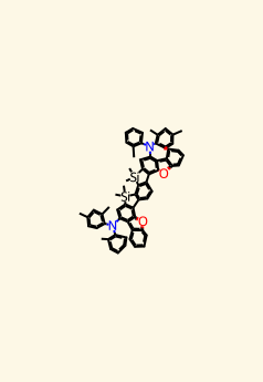 Cc1ccc(N(c2ccccc2C)c2cc3c(c4oc5ccccc5c24)-c2ccc4c(c2[Si]3(C)C)[Si](C)(C)c2cc(N(c3ccccc3C)c3ccc(C)cc3C)c3c(oc5ccccc53)c2-4)c(C)c1